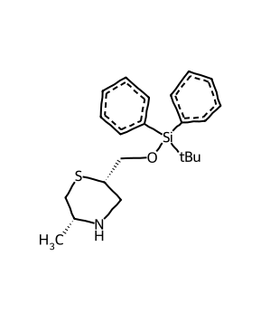 C[C@@H]1CS[C@H](CO[Si](c2ccccc2)(c2ccccc2)C(C)(C)C)CN1